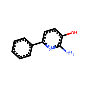 Nc1nc(-c2ccccc2)ccc1O